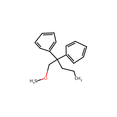 CCCC(CO[SiH3])(c1ccccc1)c1ccccc1